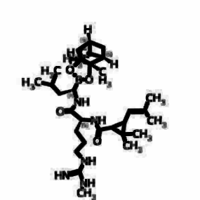 CNC(=N)NCCC[C@H](NC(=O)C1C(C=C(C)C)C1(C)C)C(=O)N[C@@H](CC(C)C)B1O[C@@H]2C[C@@H]3C[C@@H](C3(C)C)[C@]2(C)O1